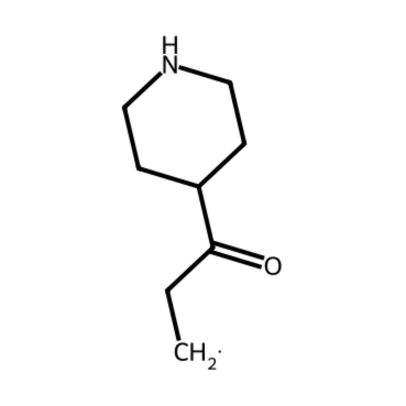 [CH2]CC(=O)C1CCNCC1